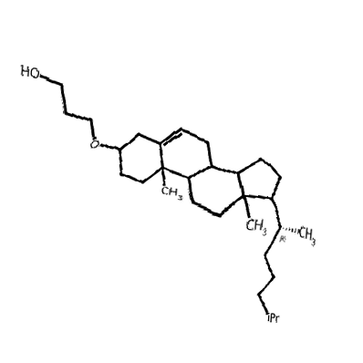 CC(C)CCC[C@@H](C)C1CCC2C3CC=C4CC(OCCCO)CCC4(C)C3CCC21C